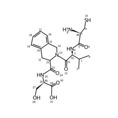 CC(C)[C@H](NC(=O)[C@@H](N)CS)C(=O)N1Cc2ccccc2CC1C(=O)N[C@H](CO)C(=O)O